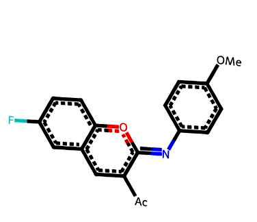 COc1ccc(/N=c2\oc3ccc(F)cc3cc2C(C)=O)cc1